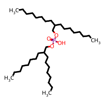 CCCCCCCCC(CCCCCCCC)COP(=O)(O)OCC(CCCCCCCC)CCCCCCCC